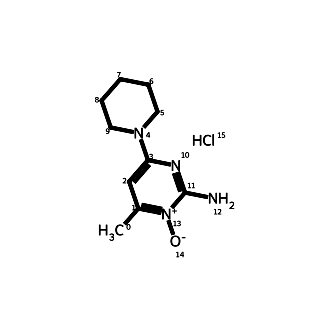 Cc1cc(N2CCCCC2)nc(N)[n+]1[O-].Cl